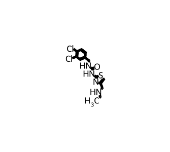 CCNCc1csc(NC(=O)NCc2ccc(Cl)c(Cl)c2)n1